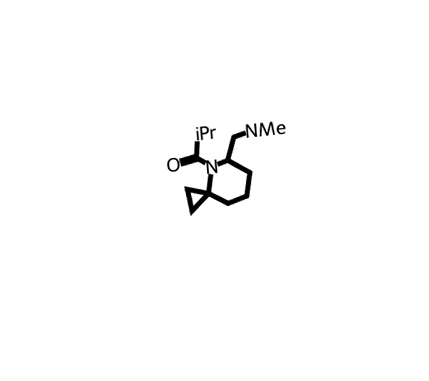 CNCC1CCCC2(CC2)N1C(=O)C(C)C